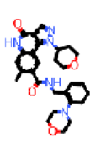 Cc1cc2[nH]c(=O)c3cnn(C4CCOCC4)c3c2cc1C(=O)NCC1=C(N2CCOCC2)CCC=C1